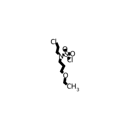 CCOCCCN(CCCl)S(=O)(=O)Cl